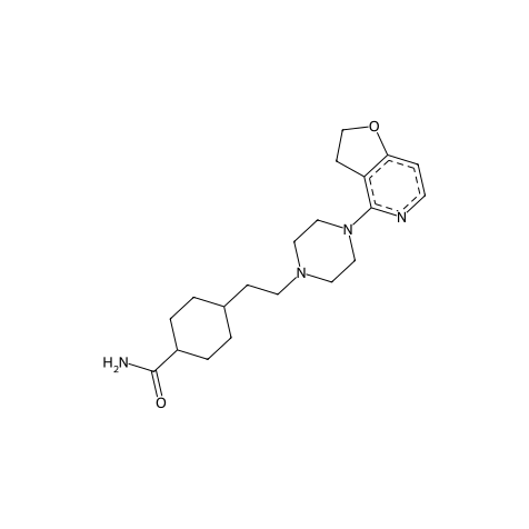 NC(=O)C1CCC(CCN2CCN(c3nccc4c3CCO4)CC2)CC1